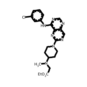 CCOC(=O)CN(C)C1CCN(c2ncc3ncnc(Nc4cccc(Cl)c4)c3n2)CC1